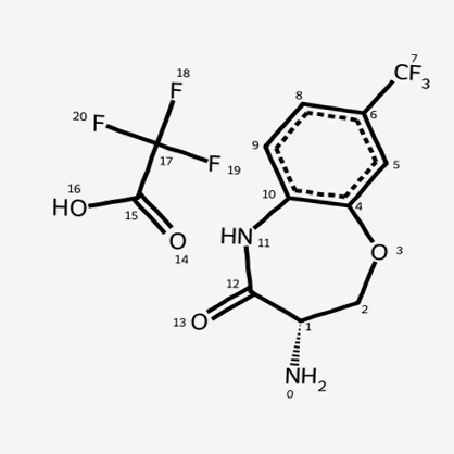 N[C@H]1COc2cc(C(F)(F)F)ccc2NC1=O.O=C(O)C(F)(F)F